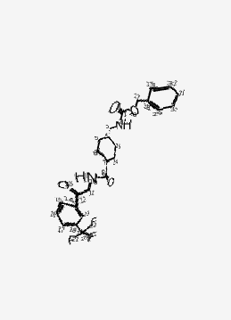 O=C(NC[C@H]1CC[C@H](C(=O)NCC(=O)c2cccc(C(F)(F)F)c2)CC1)OCc1ccccc1